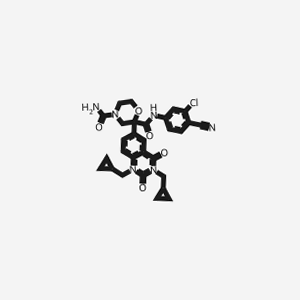 N#Cc1ccc(NC(=O)C2(c3ccc4c(c3)c(=O)n(CC3CC3)c(=O)n4CC3CC3)CN(C(N)=O)CCO2)cc1Cl